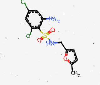 Cc1ccc(CNS(=O)(=O)c2c(N)cc(Cl)cc2Cl)o1